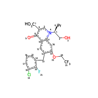 CC(C)[C@@H](CO)n1cc(C(=O)O)c(=O)c2cc(Cc3cccc(Cl)c3F)c(OCC(F)(F)F)cc21